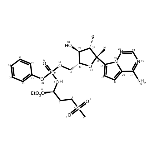 CCOC(=O)[C@H](CCS(C)(=O)=O)NP(=O)(OC[C@H]1O[C@@](C)(c2ccc3c(N)ncnn23)[C@@H](C)[C@@H]1O)Oc1ccccc1